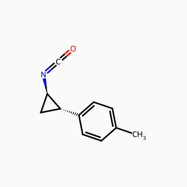 Cc1ccc([C@@H]2C[C@H]2N=C=O)cc1